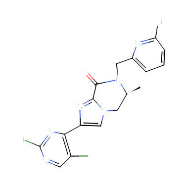 C[C@H]1Cn2cc(-c3nc(Cl)ncc3Cl)nc2C(=O)N1Cc1cccc(C(F)(F)F)n1